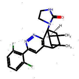 CC1C2CCC(N3CCNC3=O)(c3nnc(-c4c(F)cccc4F)cc32)[C@H]1C